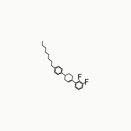 CCCCCCCCc1ccc(C2CC=C(c3cccc(F)c3F)CC2)cc1